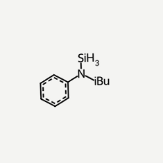 CCC(C)N([SiH3])c1ccccc1